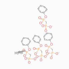 O=P([O-])([O-])CP(=O)([O-])Oc1ccccc1.O=P([O-])([O-])CP(=O)([O-])Oc1ccccc1.O=P([O-])([O-])CP(=O)([O-])Oc1ccccc1.O=P([O-])([O-])CP(=O)([O-])Oc1ccccc1.[Hf+4].[Hf+4].[Hf+4]